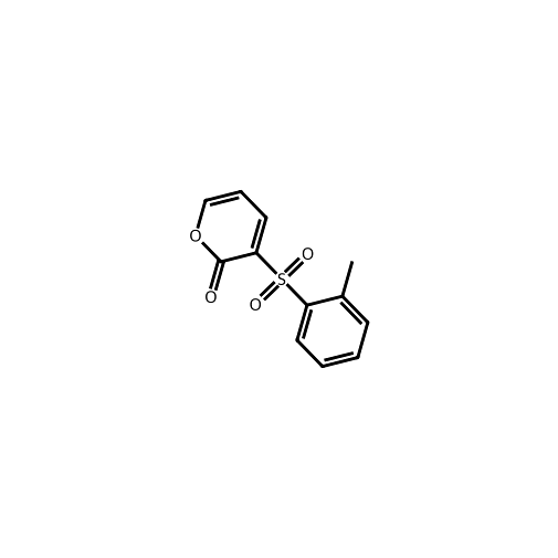 Cc1ccccc1S(=O)(=O)c1cccoc1=O